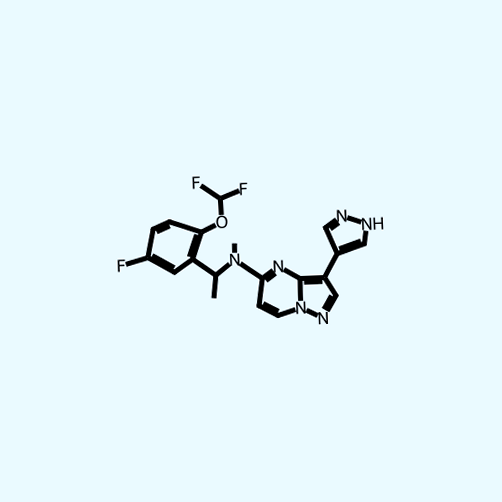 CC(c1cc(F)ccc1OC(F)F)N(C)c1ccn2ncc(-c3cn[nH]c3)c2n1